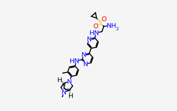 Cc1cc(Nc2nccc(-c3ccc(NCC(N)S(=O)(=O)C4CC4)nc3)n2)ccc1N1C[C@@H]2C[C@H]1CN2C